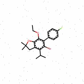 CCOc1c2c(c(C(C)C)c(Br)c1-c1ccc(F)cc1)CC(C)(C)O2